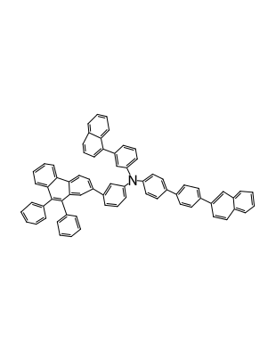 c1ccc(-c2c(-c3ccccc3)c3cc(-c4cccc(N(c5ccc(-c6ccc(-c7ccc8ccccc8c7)cc6)cc5)c5cccc(-c6cccc7ccccc67)c5)c4)ccc3c3ccccc23)cc1